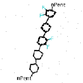 CCCCCc1ccc(-c2ccc(-c3ccc(C4CCC(C5CCC(CCCCC)CC5)CC4)c(F)c3F)cc2)c(F)c1F